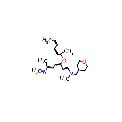 C=N/C(C)=C/C=C(\C=C\N(C)CC1CCOCC1)OC(C)/C=C\C=C/C